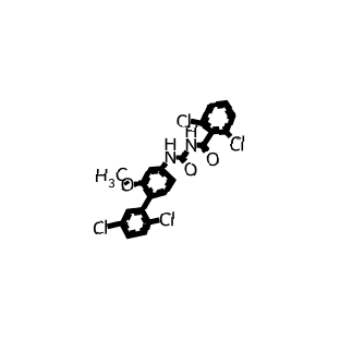 COc1cc(NC(=O)NC(=O)c2c(Cl)cccc2Cl)ccc1-c1cc(Cl)ccc1Cl